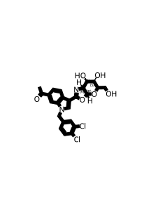 CC(=O)c1ccc2c(C3=N[C@H]4[C@@H](O3)OC(CO)[C@@H](O)[C@@H]4O)cn(Cc3ccc(Cl)c(Cl)c3)c2c1